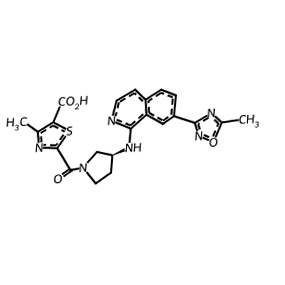 Cc1nc(-c2ccc3ccnc(N[C@H]4CCN(C(=O)c5nc(C)c(C(=O)O)s5)C4)c3c2)no1